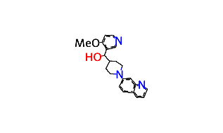 COc1ccncc1C(O)C1CCN(c2ccc3cccnc3c2)CC1